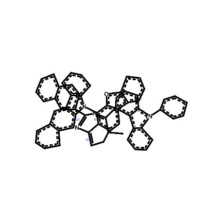 CC1C/C=C(c2ccc3c(oc4ccccc43)c2-n2c3ccccc3c3cc4ccccc4cc32)/N=C(c2ccc3ccccc3c2)\N=C/1c1cccc2c1c1ccccc1n2-c1ccccc1